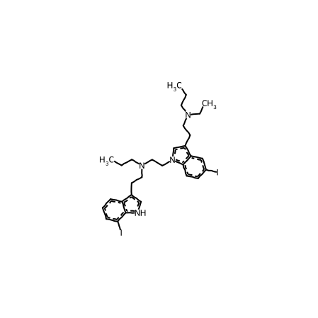 CCCN(CC)CCc1cn(CCN(CCC)CCc2c[nH]c3c(I)cccc23)c2ccc(I)cc12